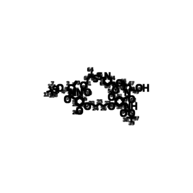 C=C1C[C@@H](CO[Si](C)(C)C(C)(C)C)N(C(=O)c2cc(OC)c(OCCCCCOc3cc(NC(=O)OC(C)(C)C)c(C(=O)N4CC(=C)C[C@H]4CO)cc3OC)cc2NC(=O)OCC[C@@H](C)SSc2ccc([N+](=O)[O-])cn2)C1